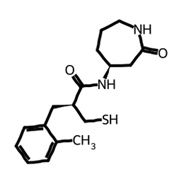 Cc1ccccc1C[C@H](CS)C(=O)N[C@H]1CCCNC(=O)C1